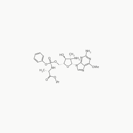 COc1nc(N)nc2c1ncn2[C@@H]1O[C@H](COP(=O)(N[C@@H](C)C(=O)OC(C)C)Oc2ccccc2)[C@@H](O)[C@@]1(C)N